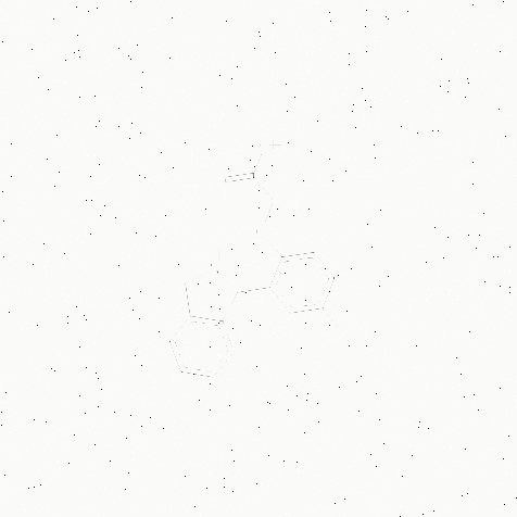 O=C(O)COc1ccc(F)cc1C1NCc2ccccc21